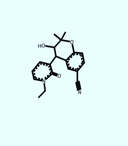 CCn1cccc(C2c3cc(C#N)ccc3OC(C)(C)C2O)c1=O